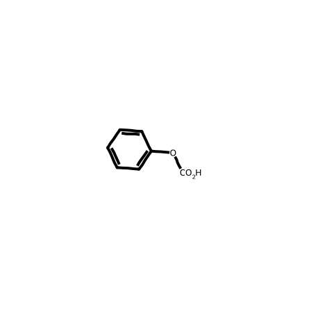 O=C(O)Oc1ccccc1